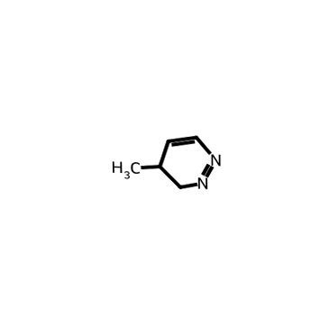 CC1C=CN=NC1